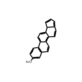 CC(=O)Oc1ccc2c(ccc3c4c(ccc32)C2C=CC=C2C=C4)c1